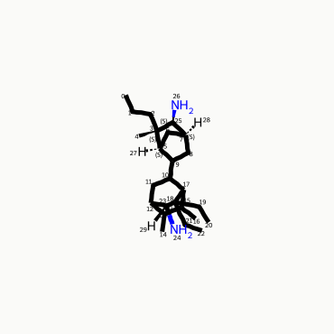 CCC[C@@]1(C)[C@H]2C[C@H](CC2C2CC3C(C)C(C)C2C(CC)(CC)[C@@H]3N)[C@@H]1N